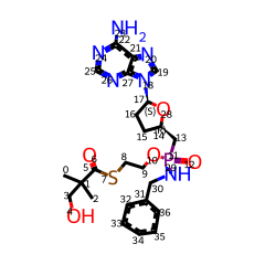 CC(C)(CO)C(=O)SCCOP(=O)(C[C@H]1CC[C@@H](n2cnc3c(N)ncnc32)O1)NCc1ccccc1